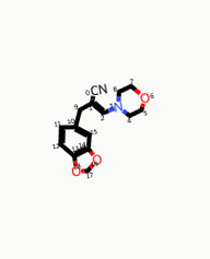 N#CC(=CN1CCOCC1)Cc1ccc2c(c1)OCO2